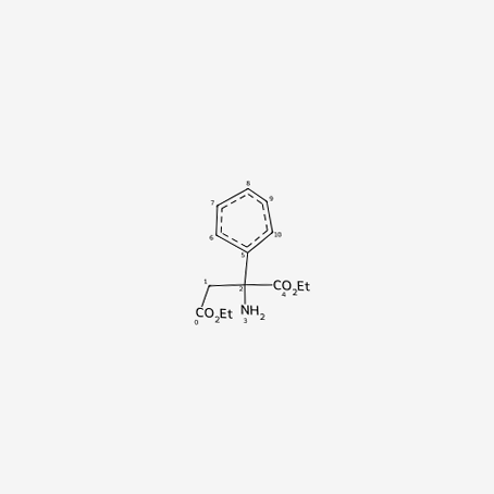 CCOC(=O)CC(N)(C(=O)OCC)c1ccccc1